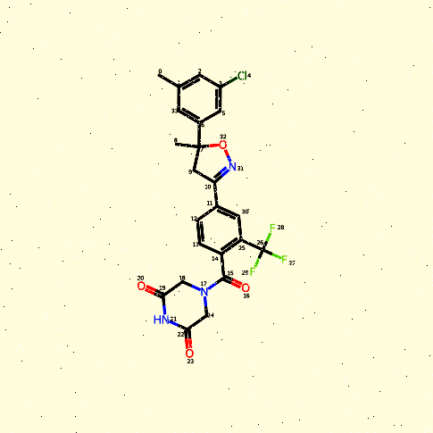 Cc1cc(Cl)cc(C2(C)CC(c3ccc(C(=O)N4CC(=O)NC(=O)C4)c(C(F)(F)F)c3)=NO2)c1